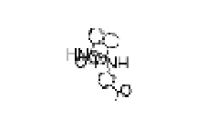 CC(=O)c1cccc(NC(=O)c2cccc3cccc(C(=O)NO)c23)c1